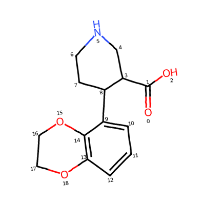 O=C(O)C1CNCCC1c1cccc2c1OCCO2